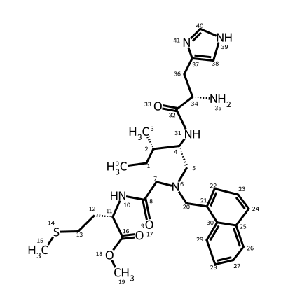 CC[C@H](C)[C@@H](CN(CC(=O)N[C@@H](CCSC)C(=O)OC)Cc1cccc2ccccc12)NC(=O)[C@@H](N)Cc1c[nH]cn1